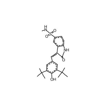 CNS(=O)(=O)c1ccc2c(c1)C(=Cc1cc(C(C)(C)C)c(O)c(C(C)(C)C)c1)C(=O)N2